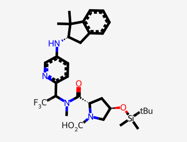 CN(C(=O)[C@@H]1C[C@@H](O[Si](C)(C)C(C)(C)C)CN1C(=O)O)C(c1ccc(N[C@H]2Cc3ccccc3C2(C)C)cn1)C(F)(F)F